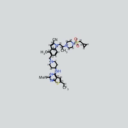 CNc1nc(NC2CCN(Cc3ccc4c(cc(C#N)n4C[C@H](C)N4CCN(S(=O)(=O)CC5CC5)CC4)c3C)CC2)c2cc(CC(F)(F)F)sc2n1